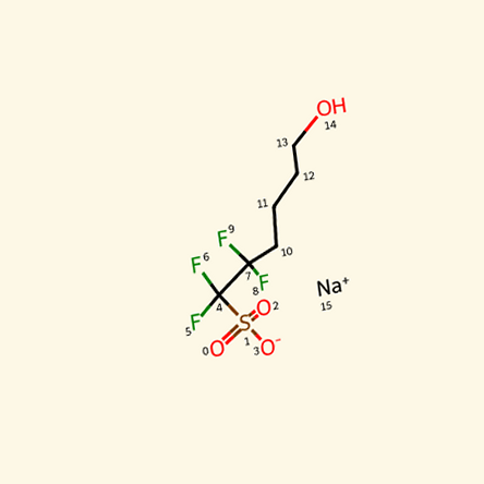 O=S(=O)([O-])C(F)(F)C(F)(F)CCCCO.[Na+]